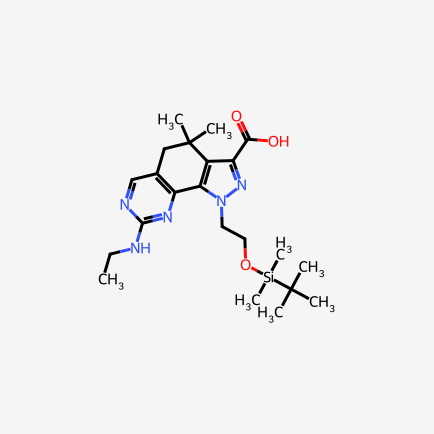 CCNc1ncc2c(n1)-c1c(c(C(=O)O)nn1CCO[Si](C)(C)C(C)(C)C)C(C)(C)C2